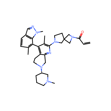 C=CC(=O)N1CC2(CCN(c3nc4c(c(-c5c(C)ccc6cnn(C)c56)c3C)CCN([C@@H]3CCCN(C)C3)C4)C2)C1